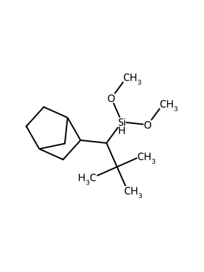 CO[SiH](OC)C(C1CC2CCC1C2)C(C)(C)C